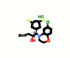 CNC[C@@H](O)[C@H](c1cc(F)cc(F)c1)N1CCOc2ccc(Cl)cc21.Cl